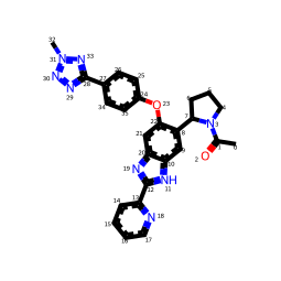 CC(=O)N1CCCC1c1cc2[nH]c(-c3ccccn3)nc2cc1Oc1ccc(-c2nnn(C)n2)cc1